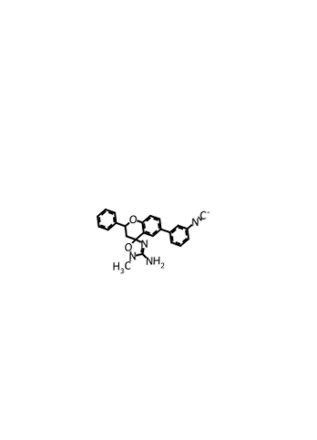 [C-]#[N+]c1cccc(-c2ccc3c(c2)C2(CC(c4ccccc4)O3)N=C(N)N(C)O2)c1